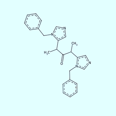 CC(C(=O)C(C)c1cncn1Cc1ccccc1)c1cncn1Cc1ccccc1